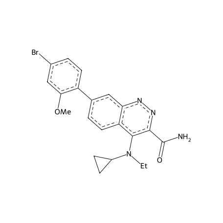 CCN(c1c(C(N)=O)nnc2cc(-c3ccc(Br)cc3OC)ccc12)C1CC1